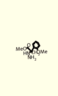 COC(=O)C(C)(NN)c1ccccc1OC